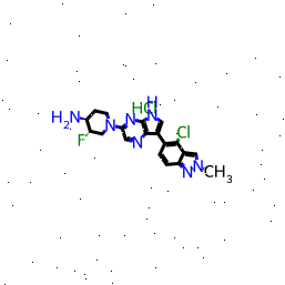 Cl.Cn1cc2c(Cl)c(-c3c[nH]c4nc(N5CC[C@H](N)[C@@H](F)C5)cnc34)ccc2n1